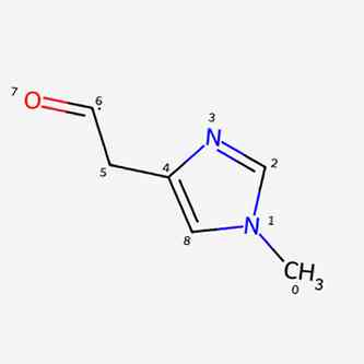 Cn1cnc(C[C]=O)c1